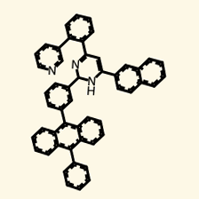 C1=C(c2ccc3ccccc3c2)NC(c2cccc(-c3c4ccccc4c(-c4ccccc4)c4ccccc34)c2)N=C1c1ccccc1-c1cccnc1